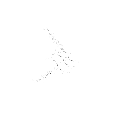 N.N.N.N.N.N.N.N.N.N.N.N.N.N.O=S(=O)(O)OOS(=O)(=O)O.O=S(=O)(O)OOS(=O)(=O)O.O=S(=O)(O)OOS(=O)(=O)O